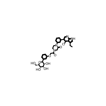 CCc1c[nH]c2ncc(-c3cccc(N4CCN(C(=O)COc5cccc(C6O[C@H](CO)[C@@H](O)[C@H](O)[C@H]6O)c5)CC4=O)c3)c(Cl)c12